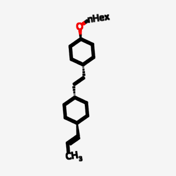 CC=C[C@H]1CC[C@H](CC[C@H]2CC[C@H](OCCCCCC)CC2)CC1